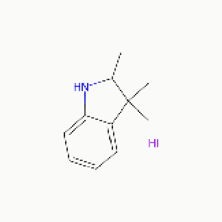 CC1Nc2ccccc2C1(C)C.I